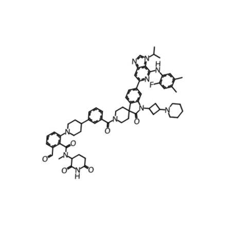 Cc1cc(F)c(Nc2nc(-c3ccc4c(c3)N(C3CC(N5CCCCC5)C3)C(=O)C43CCN(C(=O)c4cccc(C5CCN(c6cccc(C=O)c6C(=O)N(C)C6CCC(=O)NC6=O)CC5)c4)CC3)cc3ncn(C(C)C)c23)cc1C